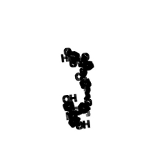 CC1(Cc2ccc(OCCCCN3CCN(C(=O)COc4cccc5c4CN(C4CCC(=O)NC4=O)C5=O)CC3)cc2)C(c2ccc(O)cc2)=Nc2ccc(O)cc21